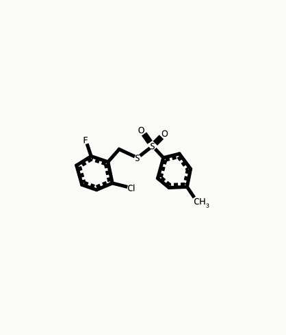 Cc1ccc(S(=O)(=O)SCc2c(F)cccc2Cl)cc1